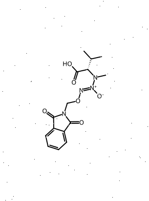 CC(C)[C@@H](C(=O)O)N(C)/[N+]([O-])=N/OCN1C(=O)c2ccccc2C1=O